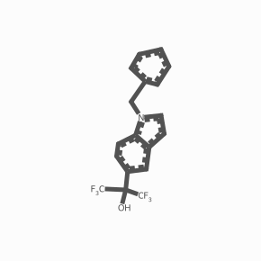 OC(c1ccc2c(ccn2Cc2ccccc2)c1)(C(F)(F)F)C(F)(F)F